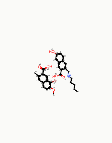 CCCCCNCc1cc2ccc(O)cc2cc1C(=O)O.COc1ccc2cc(C)c(C(=O)O)cc2c1Br